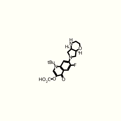 CC(C)(C)n1cc(OC(=O)O)c(=O)c2cc(F)c(N3C[C@@H]4OCCN[C@@H]4C3)cc21